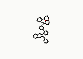 c1ccc(-c2ccccc2N(c2ccccc2)c2cccc(-c3cccc4c3c3cc5ccccc5cc3n4-c3ccccc3)c2)cc1